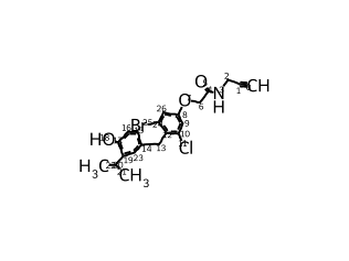 C#CCNC(=O)COc1cc(Cl)c(Cc2ccc(O)c(C(C)C)c2)c(Br)c1